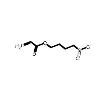 C=CC(=O)OCCCC[SiH](Cl)Cl